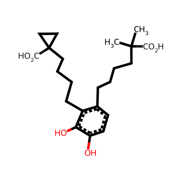 CC(C)(CCCCc1ccc(O)c(O)c1CCCCC1(C(=O)O)CC1)C(=O)O